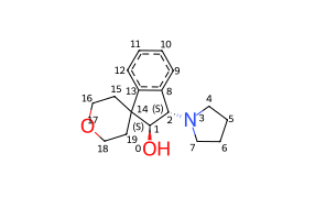 O[C@@H]1[C@@H](N2CCCC2)c2ccccc2C12CCOCC2